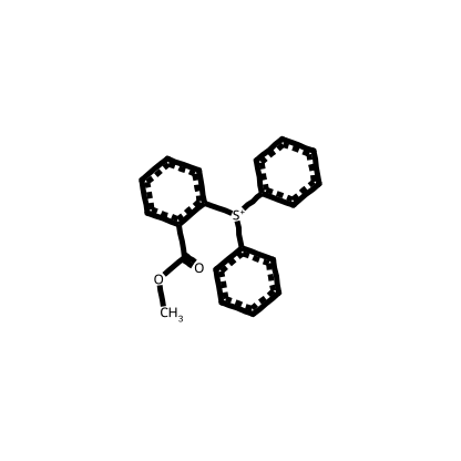 COC(=O)c1ccccc1[S+](c1ccccc1)c1ccccc1